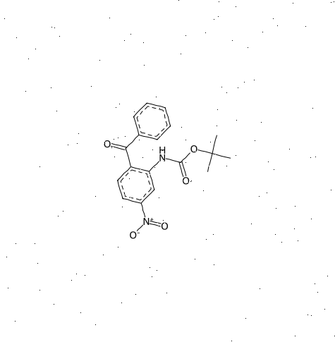 CC(C)(C)OC(=O)Nc1cc([N+](=O)[O-])ccc1C(=O)c1ccccc1